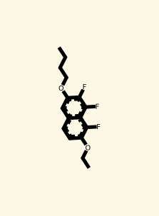 CCCCOc1cc2ccc(OCC)c(F)c2c(F)c1F